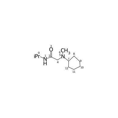 CC(C)NC(=O)CN(C)C1CCCCC1